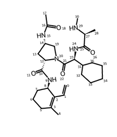 C=CC1=C(C)CCC[C@H]1NC(=O)[C@@H]1C[C@H](NC(C)=O)CN1C(=O)[C@@H](NC(=O)[C@H](C)NC)C1CCCCC1